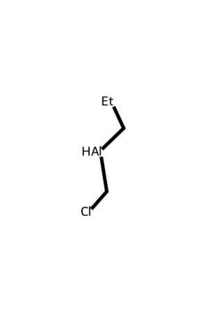 CC[CH2][AlH][CH2]Cl